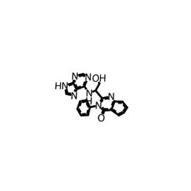 O=c1c2ccccc2nc(C(CO)Nc2ncnc3[nH]cnc23)n1-c1ccccc1